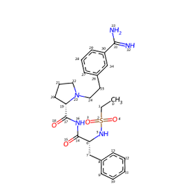 CCS(=O)(=O)N[C@H](Cc1ccccc1)C(=O)NC(=O)[C@@H]1CCCN1CCc1cccc(C(=N)N)c1